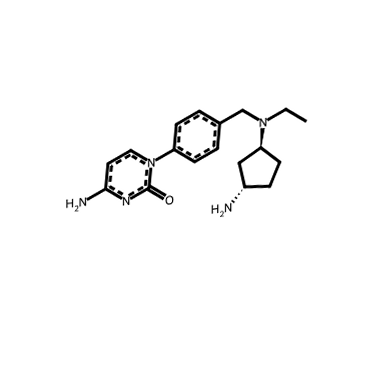 CCN(Cc1ccc(-n2ccc(N)nc2=O)cc1)[C@H]1CC[C@H](N)C1